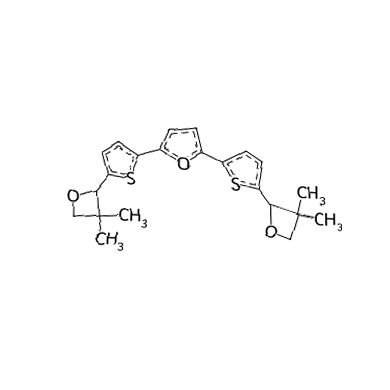 CC1(C)COC1c1ccc(-c2ccc(-c3ccc(C4OCC4(C)C)s3)o2)s1